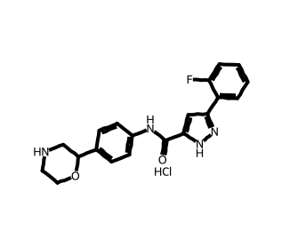 Cl.O=C(Nc1ccc(C2CNCCO2)cc1)c1cc(-c2ccccc2F)n[nH]1